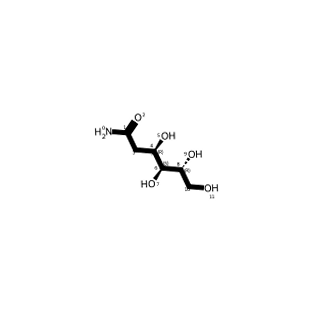 NC(=O)C[C@@H](O)[C@H](O)[C@H](O)CO